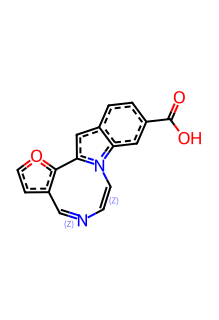 O=C(O)c1ccc2cc3n(c2c1)/C=C\N=C/c1ccoc1-3